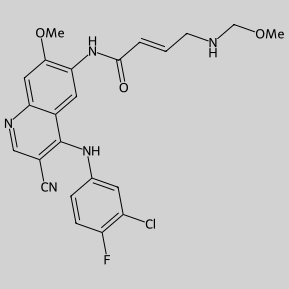 COCNCC=CC(=O)Nc1cc2c(Nc3ccc(F)c(Cl)c3)c(C#N)cnc2cc1OC